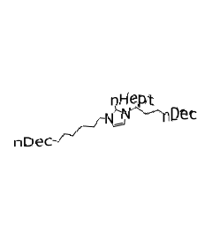 CCCCCCCCCCCCCCCCN1C=CN(CCCCCCCCCCCCC)C1CCCCCCC